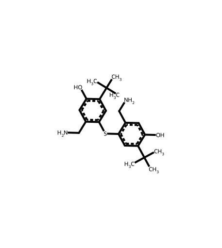 CC(C)(C)c1cc(Sc2cc(C(C)(C)C)c(O)cc2CN)c(CN)cc1O